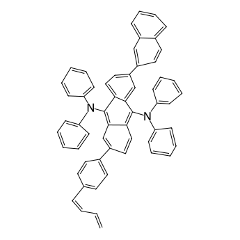 C=C/C=C\c1ccc(-c2ccc3c(N(c4ccccc4)c4ccccc4)c4cc(-c5ccc6ccccc6c5)ccc4c(N(c4ccccc4)c4ccccc4)c3c2)cc1